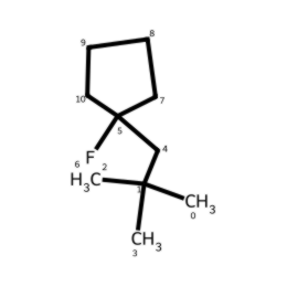 CC(C)(C)CC1(F)CCCC1